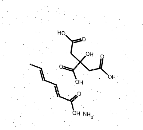 C/C=C/C=C/C(=O)O.N.O=C(O)CC(O)(CC(=O)O)C(=O)O